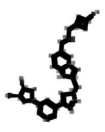 F[C@@H]1CN(c2cncc(-c3cn(Cc4cn5cc(CNCC67CC(F)(C6)C7)ccc5n4)nn3)c2)C[C@H]1F